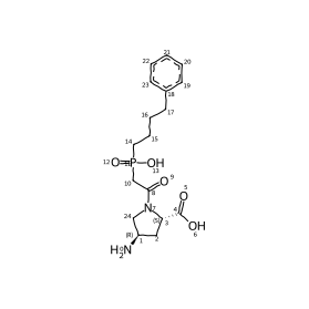 N[C@@H]1C[C@@H](C(=O)O)N(C(=O)CP(=O)(O)CCCCc2ccccc2)C1